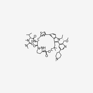 CCn1c(-c2cc(C3CCN(C)CC3)cnc2[C@H](C)OC)c2c3cc(ccc31)-c1csc(n1)C[C@H](NC(=O)C(C(C)C)N(C)C(=O)N(C)C)C(=O)N1CCC[C@H](N1)C(=O)OCC(C)(C)C2